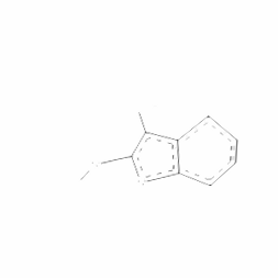 CCCCCc1c(NC=O)[nH]c2ccccc12